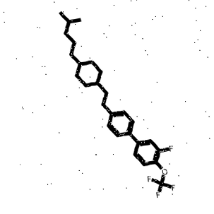 CC(C)CCCC1CCC(CCc2ccc(-c3ccc(OC(F)(F)F)c(F)c3)cc2)CC1